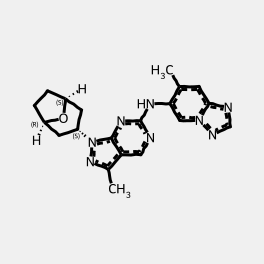 Cc1cc2ncnn2cc1Nc1ncc2c(C)nn([C@@H]3C[C@H]4CC[C@@H](C3)O4)c2n1